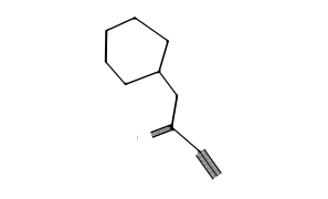 C#CC(=O)CC1CCCCC1